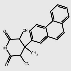 CC1(c2ccc3c(ccc4ccccc43)c2)C(C#N)C(=O)NC(=O)C1C#N